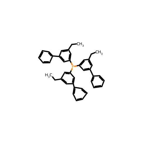 CCc1cc(-c2ccccc2)cc(P(c2cc(CC)cc(-c3ccccc3)c2)c2cc(CC)cc(-c3ccccc3)c2)c1